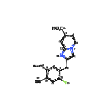 COc1cc(Cc2cn3ccc(C(=O)O)cc3n2)c(F)cc1C(C)(C)C